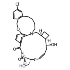 O=C1NS(=O)(=O)[C@@H](CO)C/C=C\C[C@H](O)[C@@H]2CC[C@H]2CN2CCCCc3cc(Cl)ccc3COc3ccc1cc32